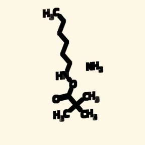 CCCCCCNOC(=O)C(C)(C)C.N